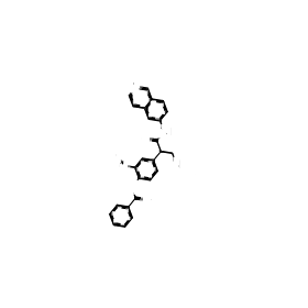 COc1cc(C(CN)C(=O)Nc2ccc3cnccc3c2)ccc1OC(=O)c1ccccc1